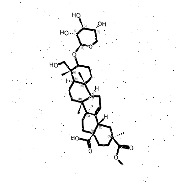 COC(=O)[C@@]1(C)CC[C@]2(C(=O)O)CC[C@]3(C)C(=CC[C@@H]4[C@@]5(C)CCC(O[C@@H]6OC[C@@H](O)[C@H](O)[C@H]6O)[C@@](C)(CO)[C@@H]5CC[C@]43C)[C@@H]2C1